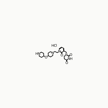 Cl.O=C1CCN(Cc2cccn(CCN3CCC(OC4CCNCC4)CC3)c2=O)C(=O)N1